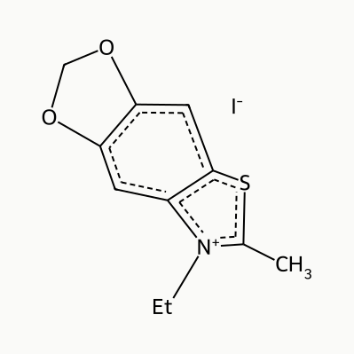 CC[n+]1c(C)sc2cc3c(cc21)OCO3.[I-]